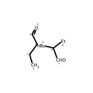 CCCC=O.CCCCC(C=O)CC